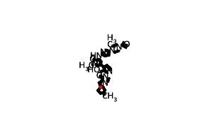 CC1CCc2cc3c(=O)n(-c4nccc(-c5cc(Nc6ccc(N7CCN(C8COC8)C[C@@H]7C)cn6)c(=O)n(C)c5)c4CO)ccn3c2C1